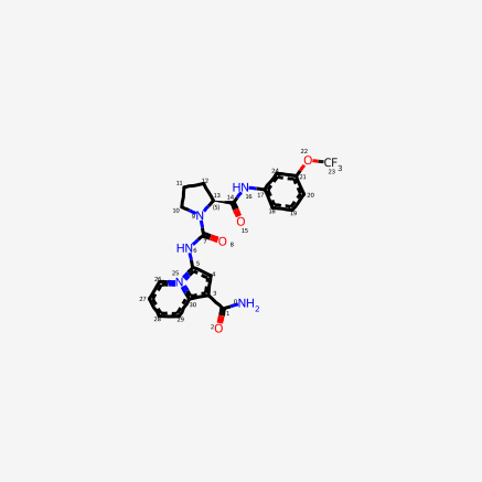 NC(=O)c1cc(NC(=O)N2CCC[C@H]2C(=O)Nc2cccc(OC(F)(F)F)c2)n2ccccc12